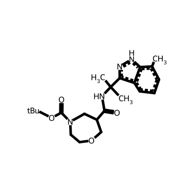 Cc1cccc2c(C(C)(C)NC(=O)C3COCCN(C(=O)OC(C)(C)C)C3)n[nH]c12